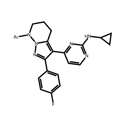 CC(=O)N1CCCc2c(-c3ccnc(NC4CC4)n3)c(-c3ccc(F)cc3)nn21